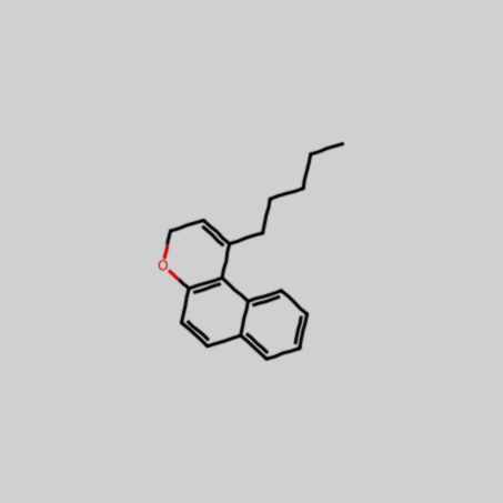 CCCCCC1=CCOc2ccc3ccccc3c21